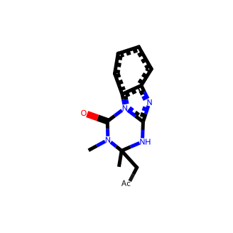 CC(=O)CC1(C)Nc2nc3ccccc3n2C(=O)N1C